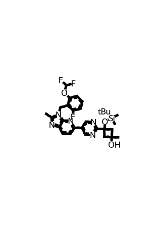 Cc1nc2ccc(-c3cnc(C4(O[Si](C)(C)C(C)(C)C)CC(C)(O)C4)nc3)nc2n1Cc1c(F)cccc1OC(F)F